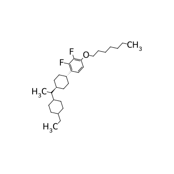 CCCCCCCOc1ccc([C@H]2CC[C@H](C(C)C3CCC(CC)CC3)CC2)c(F)c1F